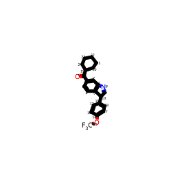 O=C(c1ccc2c(c1)N=CC2c1ccc(OC(F)(F)F)cc1)C1CCCCC1